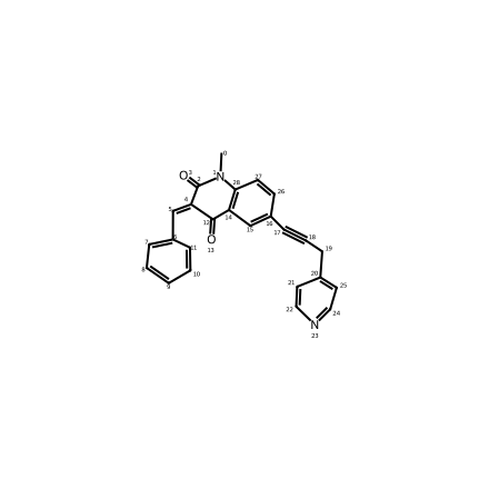 CN1C(=O)/C(=C/c2ccccc2)C(=O)c2cc(C#CCc3ccncc3)ccc21